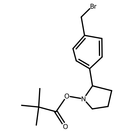 CC(C)(C)C(=O)ON1CCCC1c1ccc(CBr)cc1